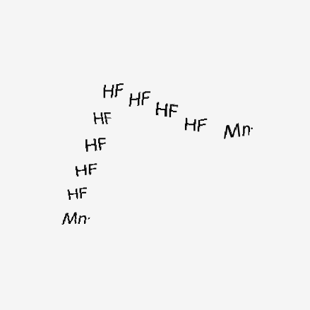 F.F.F.F.F.F.F.F.[Mn].[Mn]